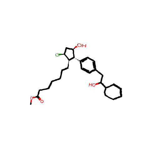 COC(=O)CCCCCC[C@@H]1[C@@H](c2ccc(CC(O)C3CCCCC3)cc2)[C@H](O)C[C@@H]1Cl